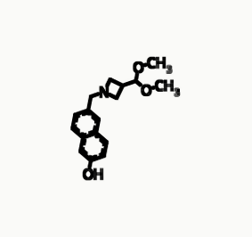 COC(OC)C1CN(Cc2ccc3cc(O)ccc3c2)C1